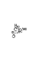 O=C(O)CNC(=O)C1CC(NC(=O)c2ccccc2)CCN1